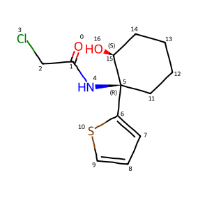 O=C(CCl)N[C@]1(c2cccs2)CCCC[C@@H]1O